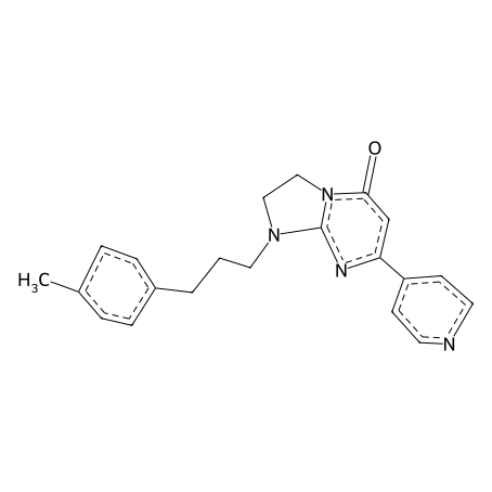 Cc1ccc(CCCN2CCn3c2nc(-c2ccncc2)cc3=O)cc1